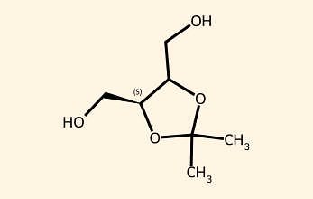 CC1(C)OC(CO)[C@H](CO)O1